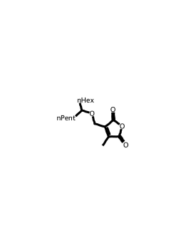 CCCCCCC(CCCCC)OCC1=C(C)C(=O)OC1=O